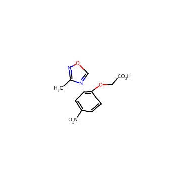 Cc1ncon1.O=C(O)COc1ccc([N+](=O)[O-])cc1